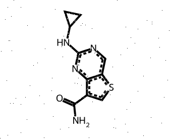 NC(=O)c1csc2cnc(NC3CC3)nc12